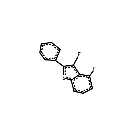 Fc1cccc2sc(-c3ccccc3)c(F)c12